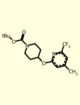 Cc1cc(OC2CCN(C(=O)OC(C)(C)C)CC2)nc(C(F)(F)F)c1